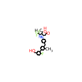 CCC1C(C(F)(F)F)=NN(c2ccc(Cc3ccc(-c4cc(CO)ccc4F)cc3C)cc2)C1CC(=O)O